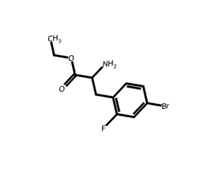 CCOC(=O)C(N)Cc1ccc(Br)cc1F